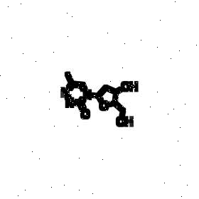 Cc1cn(C2CC(O)C(CO)O2)c(=O)nn1